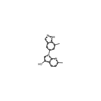 Cc1ccc2c(O)cn(-c3cc(C)c4[nH]ncc4c3)c2n1